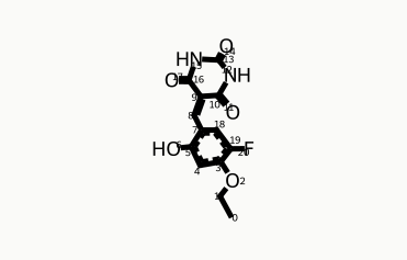 CCOc1cc(O)c(C=C2C(=O)NC(=O)NC2=O)cc1F